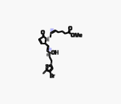 COC(=O)CCC/C=C\C[C@H]1C(=O)C=CC1/C=C/[C@@H](O)CCc1cc(Br)c(C)s1